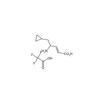 NC(C=CC(=O)O)CC1CC1.O=C(O)C(F)(F)F